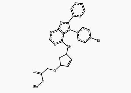 CCc1ccc(-c2c(-c3ccccc3)oc3ncnc(NC4C=CC(OCC(=O)OC(C)(C)C)C4)c23)cc1